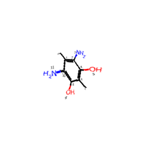 Cc1c(N)c(O)c(C)c(O)c1N